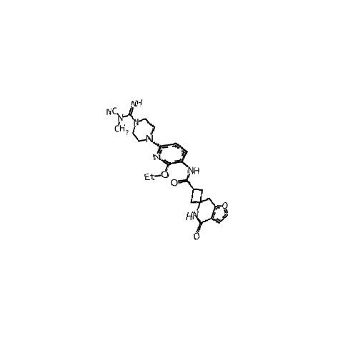 CCOc1nc(N2CCN(C(=N)N(C)C#N)CC2)ccc1NC(=O)C1CC2(Cc3occc3C(=O)N2)C1